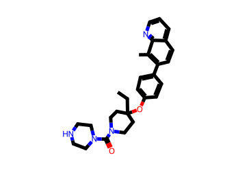 CCC1(Oc2ccc(-c3ccc4cccnc4c3C)cc2)CCN(C(=O)N2CCNCC2)CC1